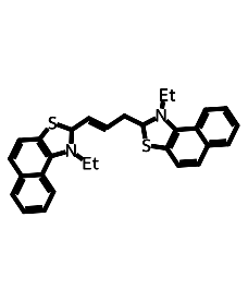 CCN1c2c(ccc3ccccc23)SC1C=CCC1Sc2ccc3ccccc3c2N1CC